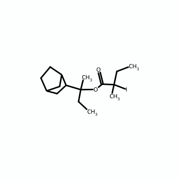 CCC(C)(I)C(=O)OC(C)(CC)C1CC2CCC1C2